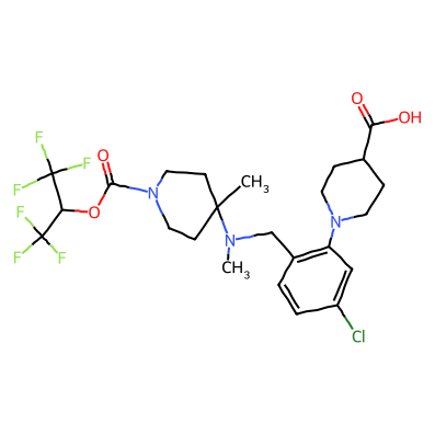 CN(Cc1ccc(Cl)cc1N1CCC(C(=O)O)CC1)C1(C)CCN(C(=O)OC(C(F)(F)F)C(F)(F)F)CC1